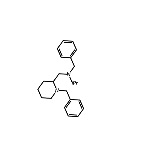 CC(C)N(Cc1ccccc1)CC1CCCCN1Cc1ccccc1